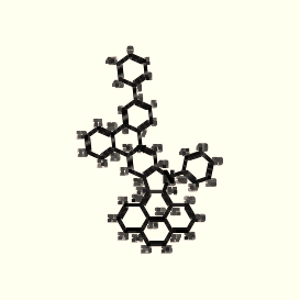 c1ccc(-c2ccc3c(c2)c2ccccc2c2cc4c5c6cccc7ccc8cccc(c8c76)c5n(-c5ccccc5)c4cc32)cc1